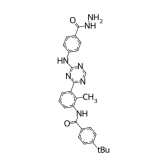 Cc1c(NC(=O)c2ccc(C(C)(C)C)cc2)cccc1-c1ncnc(Nc2ccc(C(=O)NN)cc2)n1